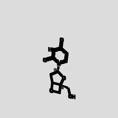 O=c1ccn([C@H]2CC3OC[C@]3(CO)O2)c(=O)[nH]1